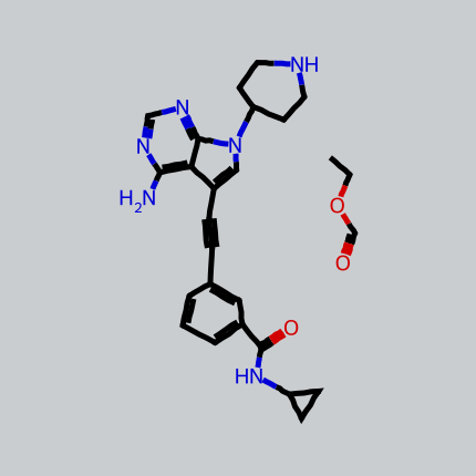 CCOC=O.Nc1ncnc2c1c(C#Cc1cccc(C(=O)NC3CC3)c1)cn2C1CCNCC1